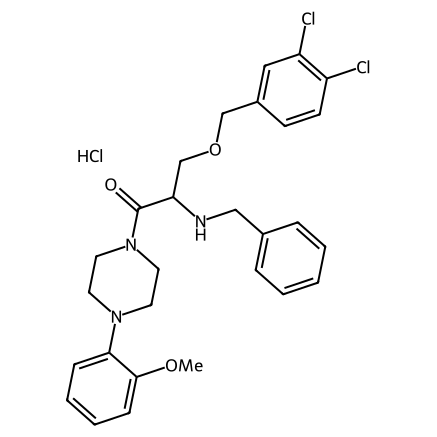 COc1ccccc1N1CCN(C(=O)C(COCc2ccc(Cl)c(Cl)c2)NCc2ccccc2)CC1.Cl